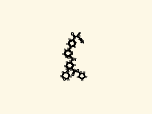 CN(C#N)C(=O)c1ccc(-c2ccnc(Nc3ccc(N4CCOCC4)c(C(=O)OC4CCCC4)c3)n2)cc1